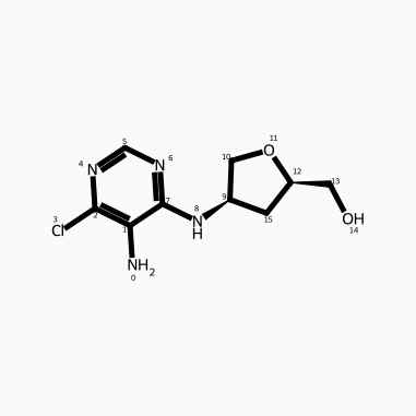 Nc1c(Cl)ncnc1N[C@H]1CO[C@@H](CO)C1